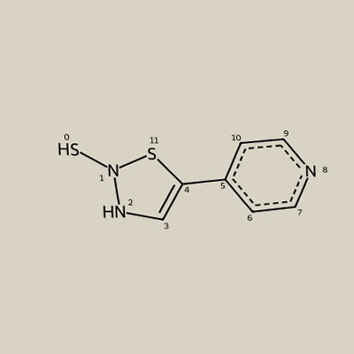 SN1NC=C(c2ccncc2)S1